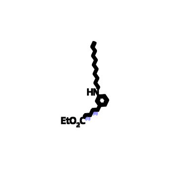 C=CCCCCCCCCCNc1cccc(/C=C/C=C/C(=O)OCC)c1